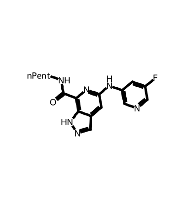 CCCCCNC(=O)c1nc(Nc2cncc(F)c2)cc2cn[nH]c12